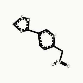 O=[SH](=O)Cc1ccc(-c2ncsn2)cn1